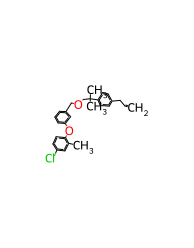 C=CCc1ccc(C(C)(C)COCc2cccc(Oc3ccc(Cl)cc3C)c2)cc1